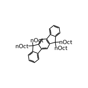 CCCCCCCCC1(CCCCCCCC)c2ccccc2-c2cc3c(cc21)-c1ccccc1C3(CCCCCCCC)CCCCCCCC